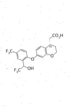 O=C(O)C[C@@H]1CCOc2cc(Oc3ccc(C(F)(F)F)cc3C(O)C(F)(F)F)ccc21